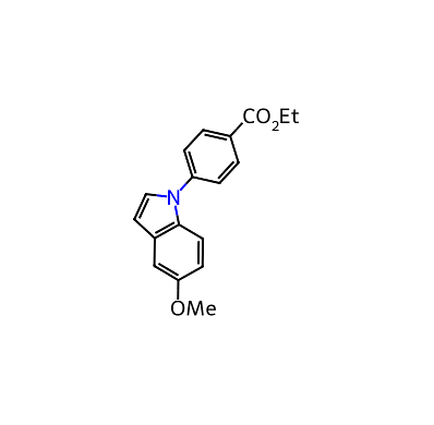 CCOC(=O)c1ccc(-n2ccc3cc(OC)ccc32)cc1